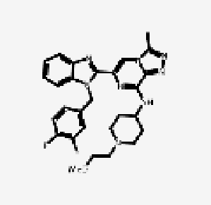 COCCN1CCC(Nc2nc(-c3nc4ccccc4n3Cc3ccc(F)c(F)c3)cn3c(C)nnc23)CC1